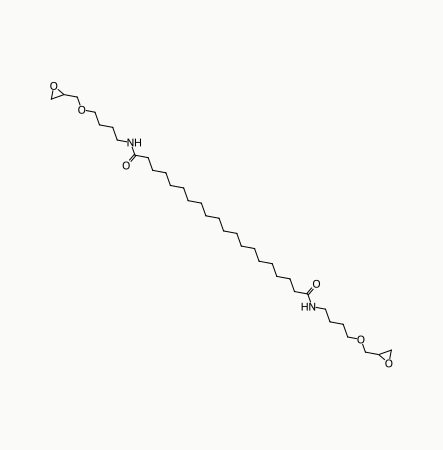 O=C(CCCCCCCCCCCCCCCCCCC(=O)NCCCCOCC1CO1)NCCCCOCC1CO1